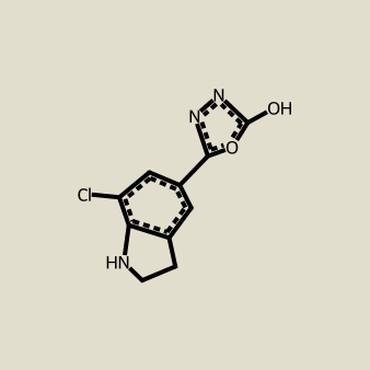 Oc1nnc(-c2cc(Cl)c3c(c2)CCN3)o1